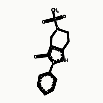 CS(=O)(=O)N1CCc2[nH]n(-c3ccccc3)c(=O)c2C1